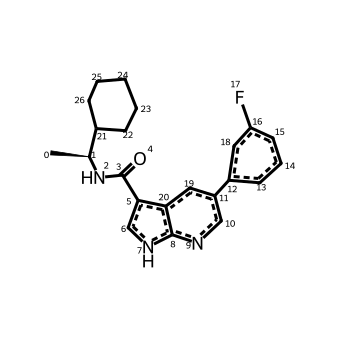 C[C@H](NC(=O)c1c[nH]c2ncc(-c3cccc(F)c3)cc12)C1CCCCC1